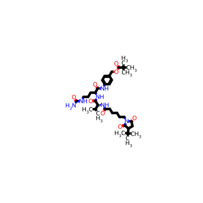 CC(C)[C@H](NC(=O)CCCCCN1C(=O)CC(C(C)(C)C)C1=O)C(=O)NC(CCCNC(N)=O)C(=O)Nc1ccc(COC(=O)C(C)(C)C)cc1